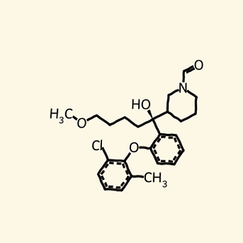 COCCCC[C@@](O)(c1ccccc1Oc1c(C)cccc1Cl)C1CCCN(C=O)C1